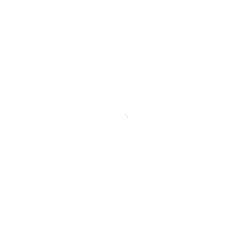 CC(NC1CCCCCCC1)C(=O)O